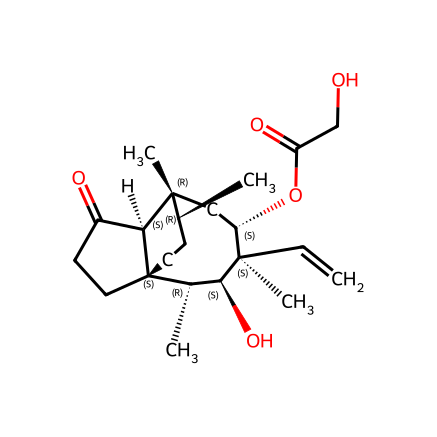 C=C[C@]1(C)[C@@H](OC(=O)CO)C[C@]2(C)[C@H](C)CC[C@]3(CCC(=O)[C@@H]23)[C@@H](C)[C@@H]1O